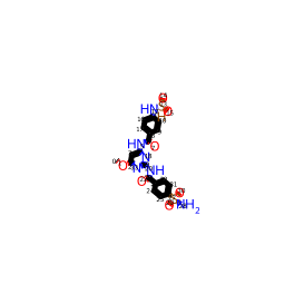 COc1cc(NC(=O)c2ccc(N[SH](=O)=O)cc2)nc(NC(=O)c2ccc(S(N)(=O)=O)cc2)n1